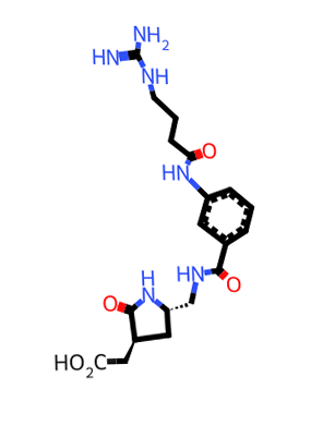 N=C(N)NCCCC(=O)Nc1cccc(C(=O)NC[C@@H]2C[C@@H](CC(=O)O)C(=O)N2)c1